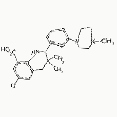 CN1CCN(c2cccc(C3Nc4c(cc(Cl)cc4C(=O)O)CC3(C)C)c2)CC1